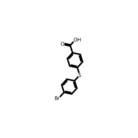 O=C(O)c1ccc(Sc2ccc(Br)cc2)cc1